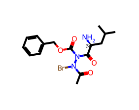 CC(=O)N(Br)N(C(=O)OCc1ccccc1)C(=O)[C@@H](N)CC(C)C